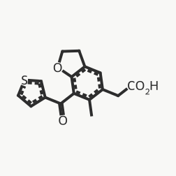 Cc1c(CC(=O)O)cc2c(c1C(=O)c1ccsc1)OCC2